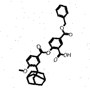 COc1ccc(C(=O)Oc2ccc(C(=O)OCc3ccccc3)cc2C(=O)O)cc1C12CC3CC(CC(C3)C1)C2